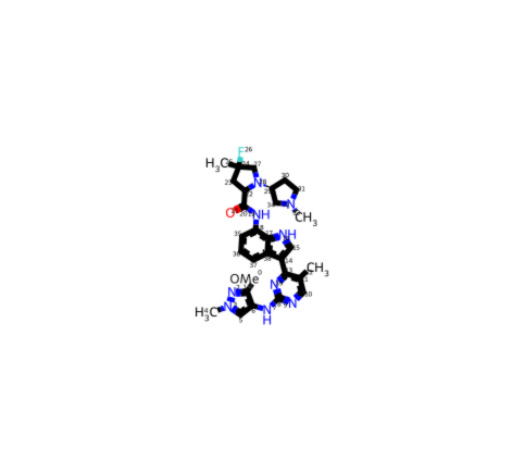 COc1nn(C)cc1Nc1ncc(C)c(-c2c[nH]c3c(NC(=O)C4CC(C)(F)CN4[C@@H]4CCN(C)C4)cccc23)n1